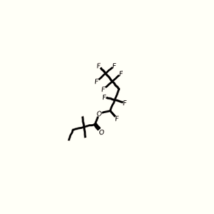 CCC(C)(C)C(=O)OC(F)C(F)(F)CC(F)(F)C(F)(F)F